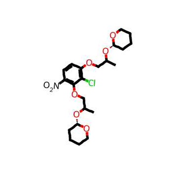 CC(COc1ccc([N+](=O)[O-])c(OCC(C)O[C@H]2CCCCO2)c1Cl)O[C@H]1CCCCO1